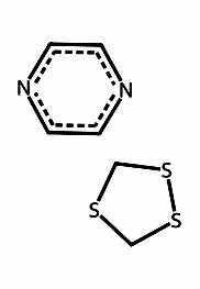 C1SCSS1.c1cnccn1